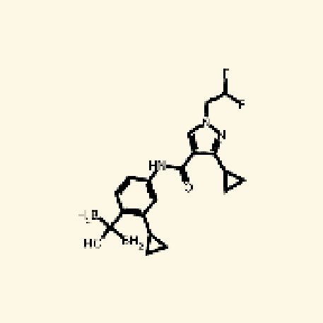 BC(B)(O)c1ccc(NC(=O)c2cn(CC(F)F)nc2C2CC2)cc1C1CC1